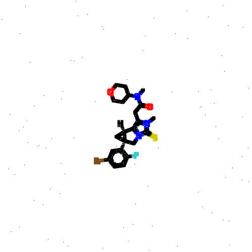 CN(C(=O)Cc1c2n(c(=S)n1C)C[C@@]1(c3cc(Br)ccc3F)C[C@@H]21)C1CCOCC1